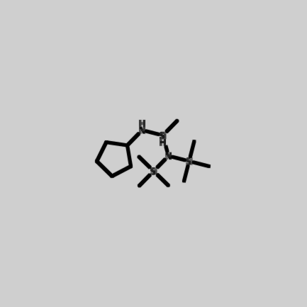 C[SiH](NC1CCCC1)N([Si](C)(C)C)[Si](C)(C)C